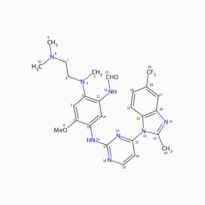 COc1cc(N(C)CCN(C)C)c(NC=O)cc1Nc1nccc(-n2c(C)nc3cc(C(F)(F)F)ccc32)n1